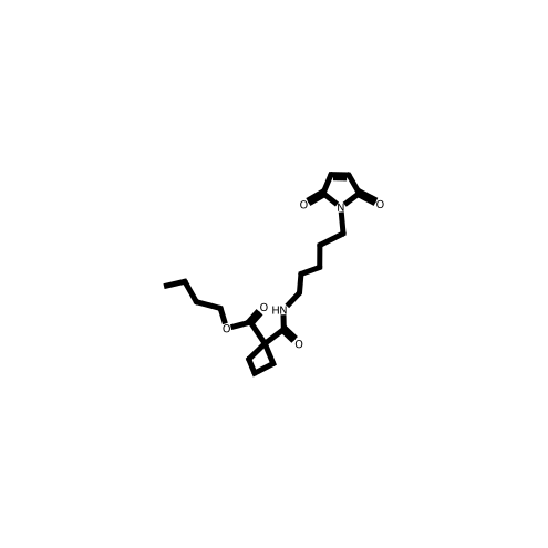 CCCCOC(=O)C1(C(=O)NCCCCCN2C(=O)C=CC2=O)CCC1